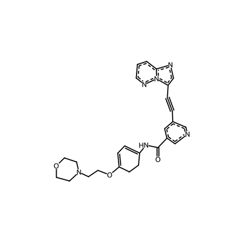 O=C(NC1=CC=C(OCCN2CCOCC2)CC1)c1cncc(C#Cc2cnc3cccnn23)c1